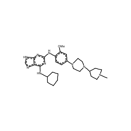 COc1cc(N2CCN(C3CCN(C)CC3)CC2)ccc1Nc1nc(NC2CCCCC2)c2nc[nH]c2n1